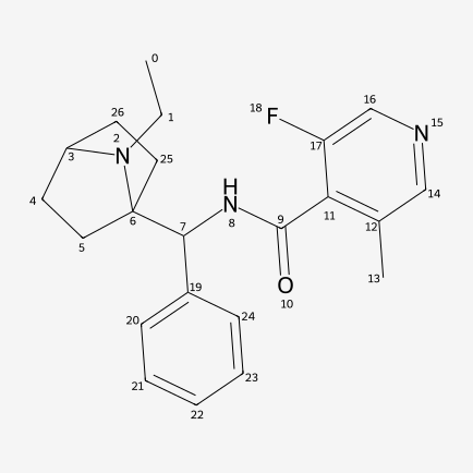 CCN1C2CCC1(C(NC(=O)c1c(C)cncc1F)c1ccccc1)CC2